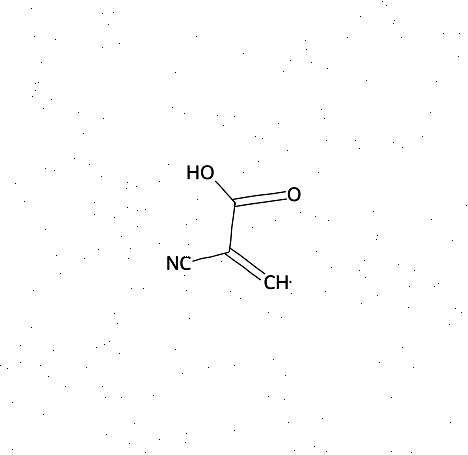 [CH]=C(C#N)C(=O)O